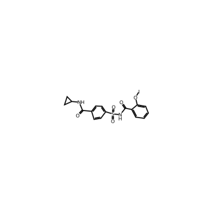 O=C(NC1CC1)c1ccc(S(=O)(=O)NC(=O)c2ccccc2OI)cc1